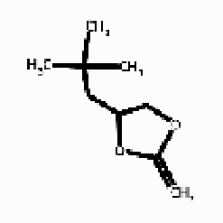 C=C1OCC(CC(C)(C)C)O1